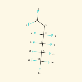 FC(F)CC(F)(F)C(F)(F)C(F)(F)C(F)(F)F